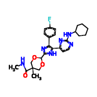 CNC(=O)C1(C)COC(c2nc(-c3ccc(F)cc3)c(-c3ccnc(NC4CCCCC4)n3)[nH]2)OC1